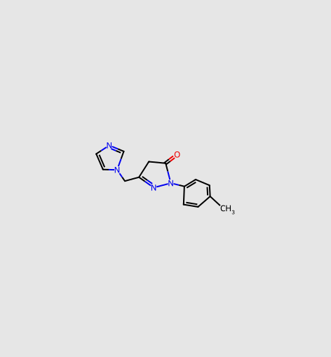 Cc1ccc(N2N=C(Cn3ccnc3)CC2=O)cc1